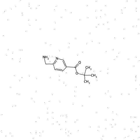 CC(C)(C)OC(=O)c1ccc(CN)nc1